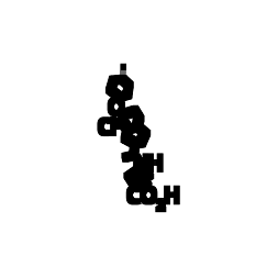 CC(N[C@@H]1C[C@H](C(=O)O)C1(C)C)c1ccc2ccc(O[C@H]3CC[C@@H](C)CC3)c(Cl)c2c1